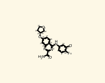 NC(=O)c1nc(Nc2ccc(F)c(Cl)c2)c2c[c]c(O[C@H]3CCOC3)cc2n1